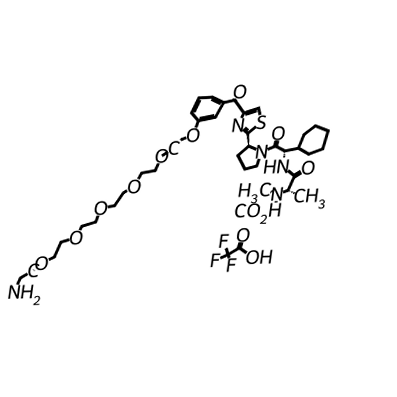 C[C@@H](C(=O)N[C@H](C(=O)N1CCC[C@H]1c1nc(C(=O)c2cccc(OCCOCCOCCOCCOCCOCCN)c2)cs1)C1CCCCC1)N(C)C(=O)O.O=C(O)C(F)(F)F